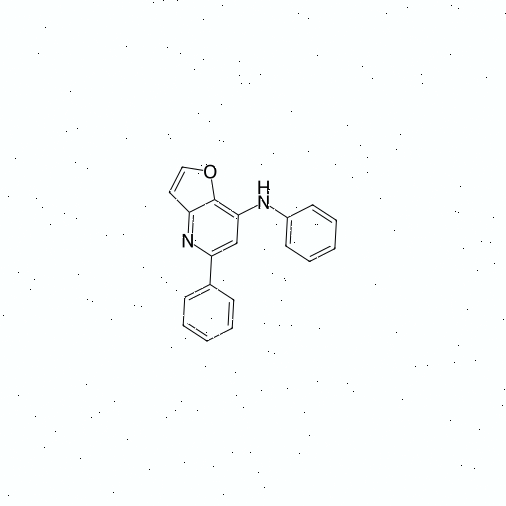 c1ccc(Nc2cc(-c3ccccc3)nc3ccoc23)cc1